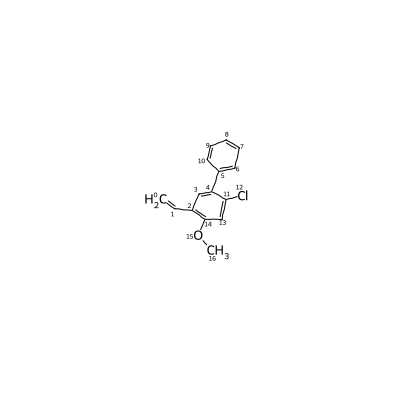 C=Cc1cc(-c2ccccc2)c(Cl)cc1OC